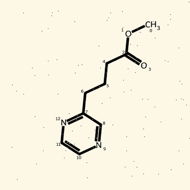 COC(=O)CCCc1cnccn1